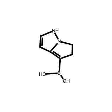 OB(O)C1=C2C=CNN2CC1